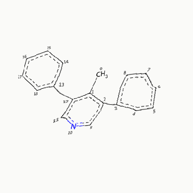 Cc1c(-c2ccccc2)cncc1-c1ccccc1